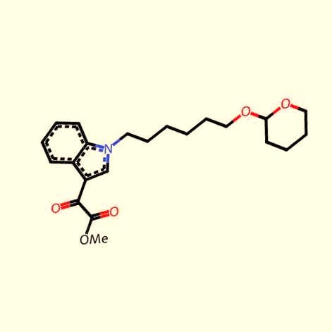 COC(=O)C(=O)c1cn(CCCCCCOC2CCCCO2)c2ccccc12